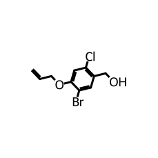 C=CCOc1cc(Cl)c(CO)cc1Br